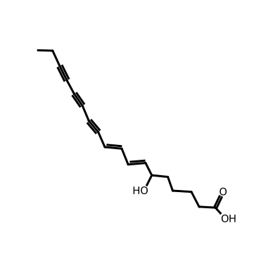 CCC#CC#CC#CC=CC=CC(O)CCCCC(=O)O